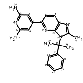 Cc1nc2ccc(-c3cc(N)nc(N)c3)nc2n1C(C)(C)c1ccccc1